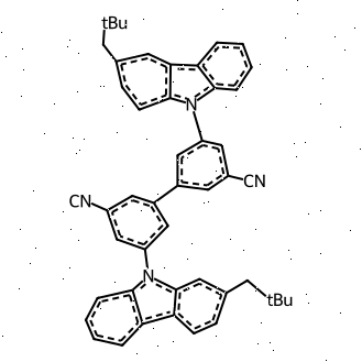 [C-]#[N+]c1cc(-c2cc(C#N)cc(-n3c4ccccc4c4cc(CC(C)(C)C)ccc43)c2)cc(-n2c3ccccc3c3ccc(CC(C)(C)C)cc32)c1